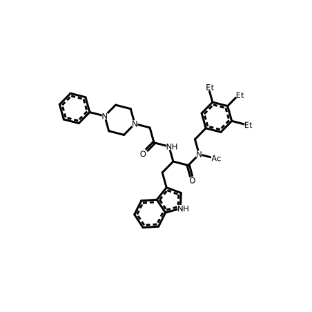 CCc1cc(CN(C(C)=O)C(=O)C(Cc2c[nH]c3ccccc23)NC(=O)CN2CCN(c3ccccc3)CC2)cc(CC)c1CC